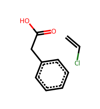 C=CCl.O=C(O)Cc1ccccc1